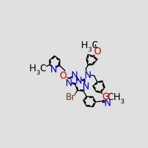 COc1ccc(CN(Cc2ccc(OC)cc2)c2nc(-c3cccc(C#N)c3)c(Br)c3nc(OCc4cccc(C)n4)nn23)cc1